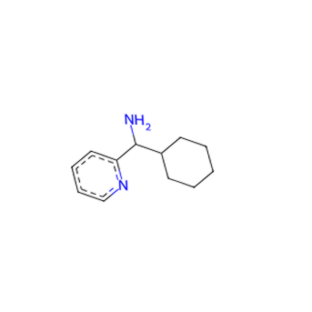 NC(c1ccccn1)C1CCCCC1